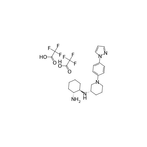 N[C@@H]1CCCC[C@H]1N[C@H]1CCCN(c2ccc(-n3cccn3)cc2)C1.O=C(O)C(F)(F)F.O=C(O)C(F)(F)F